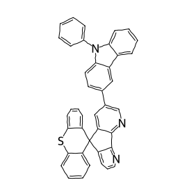 c1ccc(-n2c3ccccc3c3cc(-c4cnc5c(c4)C4(c6ccccc6Sc6ccccc64)c4cccnc4-5)ccc32)cc1